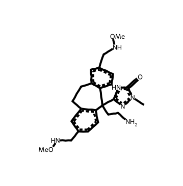 CONCc1ccc2c(c1)CCc1cc(CNOC)ccc1C2(CCN)c1nn(C)c(=O)[nH]1